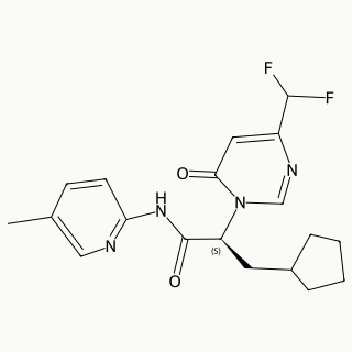 Cc1ccc(NC(=O)[C@H](CC2CCCC2)n2cnc(C(F)F)cc2=O)nc1